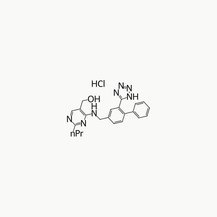 CCCc1ncc(CO)c(NCc2ccc(-c3ccccc3)c(-c3nnn[nH]3)c2)n1.Cl